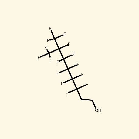 OCCC(F)(F)C(F)(F)C(F)(F)C(F)(F)C(F)(C(F)(F)F)C(F)(F)F